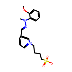 COc1ccccc1N(C)/N=C/c1ccc[n+](CCCCS(=O)(=O)[O-])c1